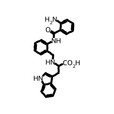 Nc1ccccc1C(=O)Nc1ccccc1CNC(Cc1c[nH]c2ccccc12)C(=O)O